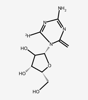 [2H]C1=NC(N)=NC(=C)N1[C@@H]1O[C@H](CO)[C@H](O)C1O